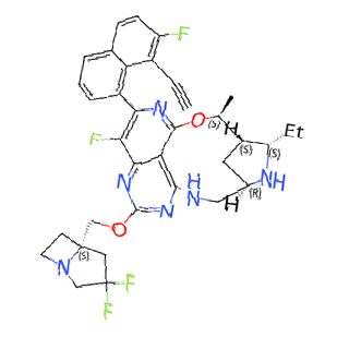 C#Cc1c(F)ccc2cccc(-c3nc4c5c(nc(OC[C@@]67CCN6CC(F)(F)C7)nc5c3F)NC[C@H]3C[C@@H]([C@H](CC)N3)[C@H](C)O4)c12